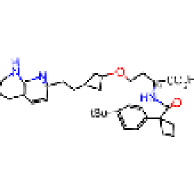 CC(C)(C)c1ccc(C2(C(=O)N[C@@H](CCOC3CC(CCc4ccc5c(n4)NCCC5)C3)C(=O)O)CCC2)cc1